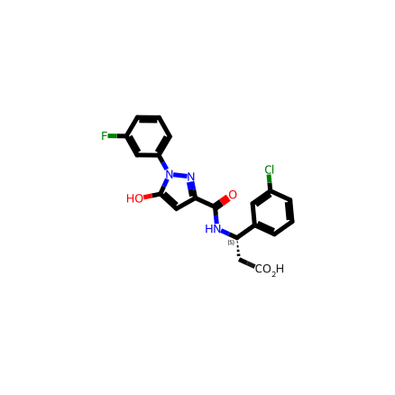 O=C(O)C[C@H](NC(=O)c1cc(O)n(-c2cccc(F)c2)n1)c1cccc(Cl)c1